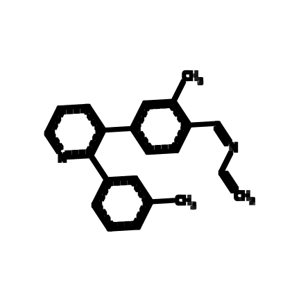 C=C/N=C\c1ccc(-c2cccnc2-c2cccc(C)c2)cc1C